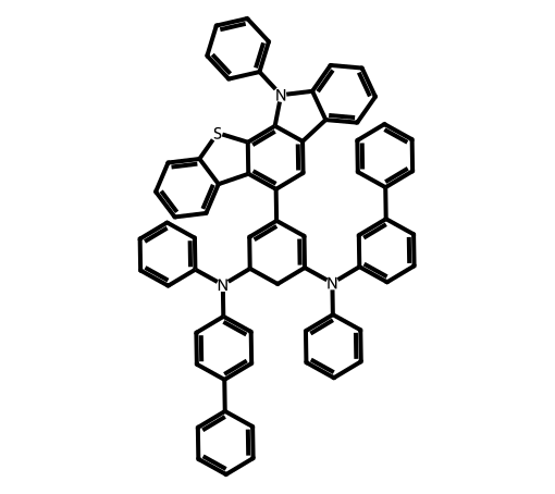 C1=C(c2cc3c4ccccc4n(-c4ccccc4)c3c3sc4ccccc4c23)C=C(N(c2ccccc2)c2cccc(-c3ccccc3)c2)CC1N(c1ccccc1)c1ccc(-c2ccccc2)cc1